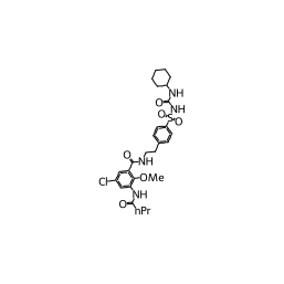 CCCC(=O)Nc1cc(Cl)cc(C(=O)NCCc2ccc(S(=O)(=O)NC(=O)NC3CCCCC3)cc2)c1OC